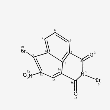 CCN1C(=O)c2cccc3c(Br)c([N+](=O)[O-])cc(c23)C1=O